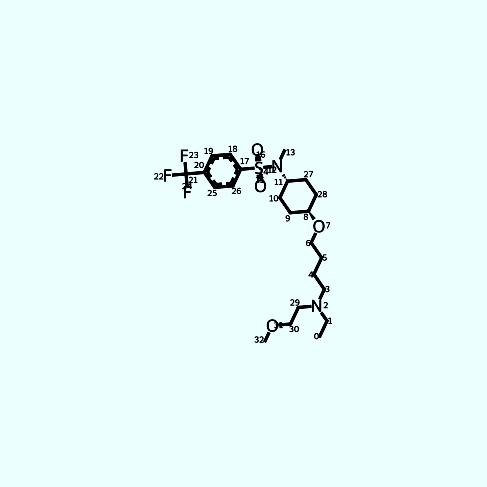 CCN(CCCCO[C@H]1CC[C@H](N(C)S(=O)(=O)c2ccc(C(F)(F)F)cc2)CC1)CCOC